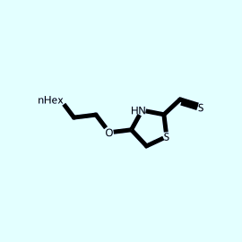 CCCCCCCCOC1CSC(C=S)N1